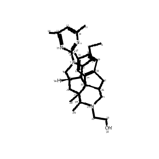 CCCC1C2[C@@H](CN1c1nc(C)cc(C)n1)CC1(C)C(C)N(CCO)CC3Cc4ccc(O)cc4C321